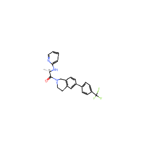 C[C@H](Nc1ccccn1)C(=O)N1CCc2cc(-c3ccc(C(F)(F)F)cc3)ccc2C1